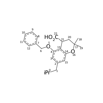 CC(C)Cc1cc(OCc2ccccc2)c2c(c1)OC(C)(C)CC2C(=O)O